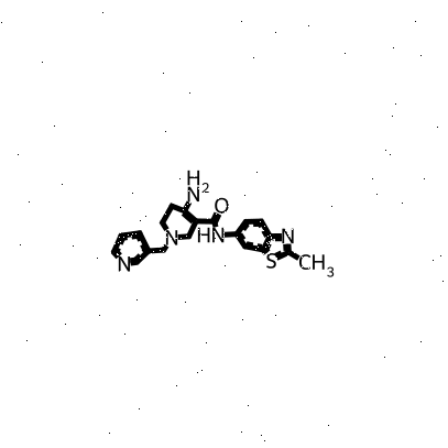 Cc1nc2ccc(NC(=O)C3=C(N)CCN(Cc4cccnc4)C3)cc2s1